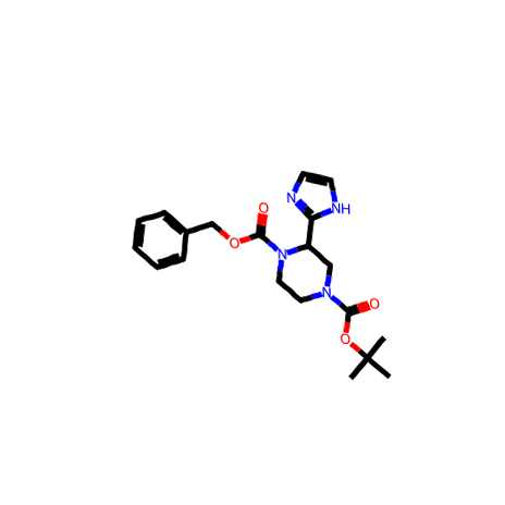 CC(C)(C)OC(=O)N1CCN(C(=O)OCc2ccccc2)C(c2ncc[nH]2)C1